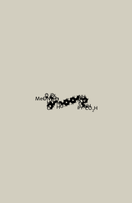 COC(=O)N[C@H](C(=O)N1CC2(CCOCC2)CC1C(=O)NCC(=O)c1ccc(-c2ccc(-c3c[nH]c([C@@H]4CCCN4C(=O)[C@@H](NC(=O)O)C(C)C)n3)cc2)cc1)C(C)C